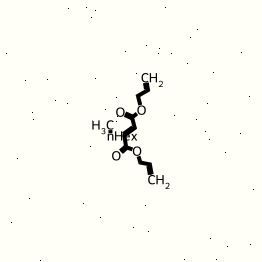 C=CCOC(=O)C=CC(=O)OCC=C.CCCCCCC